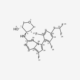 O[C@@H]1COCC[C@H]1Nc1ncc2c(F)cc(-c3c(F)cc(CC(F)F)cc3F)n2n1